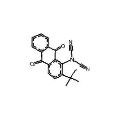 CC(C)(C)c1ccc2c(c1N(C#N)C#N)C(=O)c1ccccc1C2=O